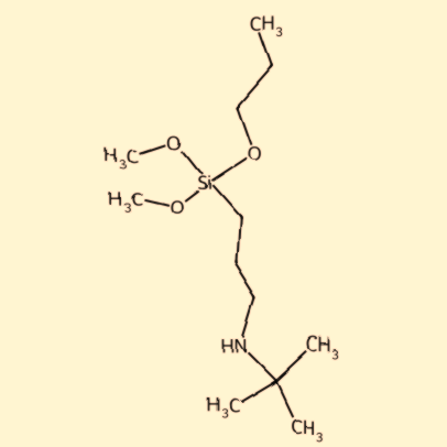 CCCO[Si](CCCNC(C)(C)C)(OC)OC